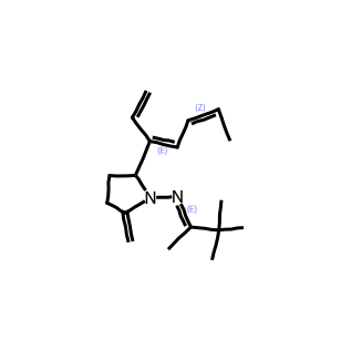 C=C/C(=C\C=C/C)C1CCC(=C)N1/N=C(\C)C(C)(C)C